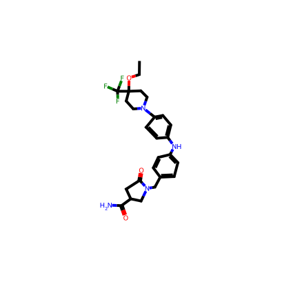 CCOC1(C(F)(F)F)CCN(c2ccc(Nc3ccc(CN4CC(C(N)=O)CC4=O)cc3)cc2)CC1